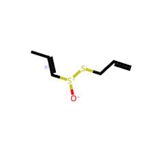 C=CCS[S+]([O-])/C=C/C